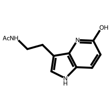 CC(=O)NCCc1c[nH]c2ccc(O)nc12